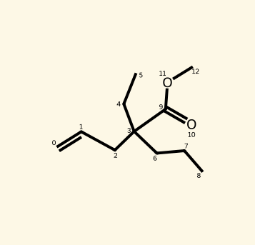 C=CCC(CC)(CCC)C(=O)OC